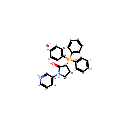 O=C1[C@H]([P+](c2ccccc2)(c2ccccc2)c2ccccc2)CCN1c1cccnc1.[Br-]